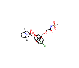 CS(=O)(=O)NC(=O)COCc1cc(Cl)ccc1OCC(=O)N1[C@@H]2CC[C@H]1CC(Oc1ccc(F)cc1)C2